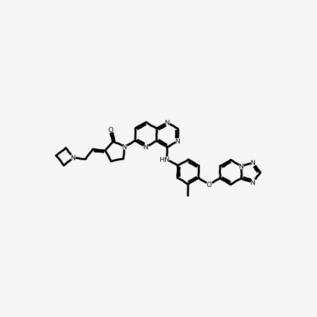 Cc1cc(Nc2ncnc3ccc(N4CC/C(=C\CN5CCC5)C4=O)nc23)ccc1Oc1ccn2ncnc2c1